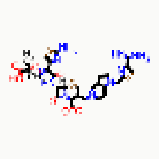 CC(C)(ON=C(C(=O)N[C@@H]1C(=O)N2C(C(=O)[O-])=C(C[n+]3ccc4c(ccn4Cc4nc(C(=N)N)cs4)c3)CS[C@H]12)c1csc(N)n1)C(=O)O